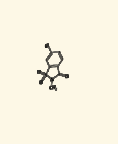 CN1C(=O)c2ccc(Cl)cc2S1(=O)=O